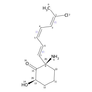 C\C(Cl)=C/C=C\C=C\[C@]1(N)CCC[C@@H](O)C1=O